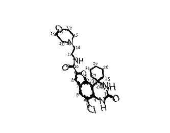 O=C1Nc2c(Cl)cc3cc(C(=O)NCCN4CCOCC4)oc3c2C2(CCCCC2)N1